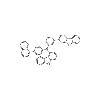 c1cc(-c2ccc3c(c2)oc2ccccc23)cc(N(c2ccc(-c3cccc4ccccc34)cc2)c2cccc3oc4ccccc4c23)c1